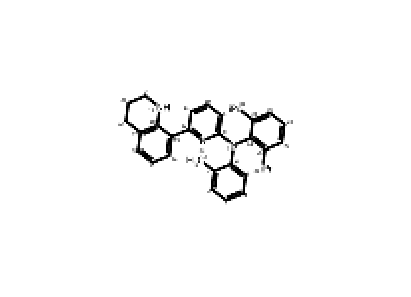 Cc1ccccc1N(c1cccc(-c2cccc3c2NCCC3)n1)c1c(C(C)C)cccc1C(C)C